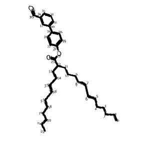 CCCCCCCCCCCCC(CCCCCCCCCC)C(=O)Oc1ccc(-c2cccc(C=O)c2)cc1